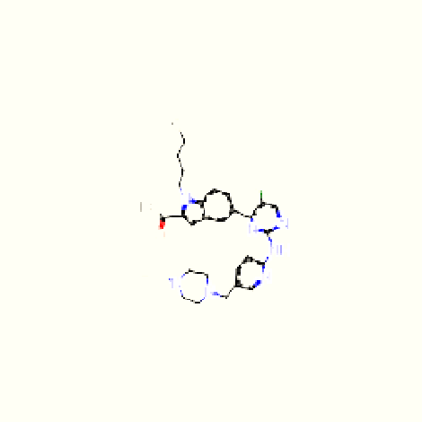 CCCCCn1c(C(C)=O)cc2cc(-c3nc(Nc4ccc(CN5CCN(C)CC5)cn4)ncc3Cl)ccc21